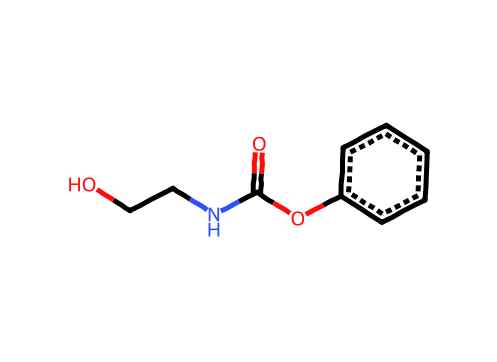 O=C(NCCO)Oc1ccccc1